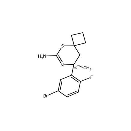 C[C@@]1(c2cc(Br)ccc2F)CC2(CCC2)SC(N)=N1